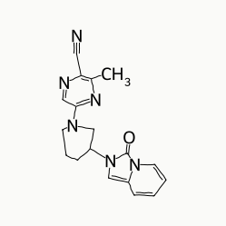 Cc1nc(N2CCCC(n3cc4ccccn4c3=O)C2)cnc1C#N